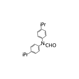 CC(C)c1ccc(N(C=O)c2ccc(C(C)C)cc2)cc1